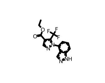 CCOC(=O)c1cnn(-c2cccc3[nH]ncc23)c1C(F)(F)F